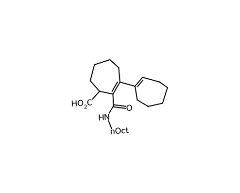 CCCCCCCCNC(=O)C1=C(C2=CCCCCC2)CCCCC1C(=O)O